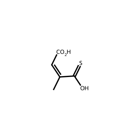 C/C(=C/C(=O)O)C(O)=S